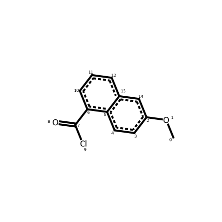 COc1ccc2c(C(=O)Cl)cccc2c1